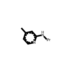 Cc1[c]c(NC(C)C)ncc1